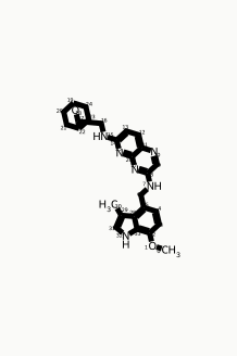 COc1ccc(CNc2cnc3ccc(NCC4OC5CCC4CC5)nc3n2)c2c(C)c[nH]c12